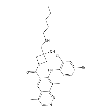 CCCCCNCC1(O)CN(C(=O)c2cc3c(C)cnnc3c(F)c2Nc2ccc(Br)cc2Cl)C1